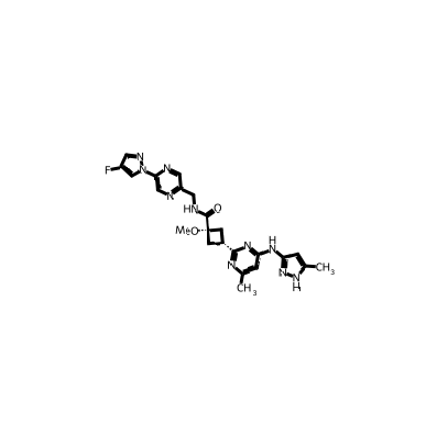 CO[C@]1(C(=O)NCc2cnc(-n3cc(F)cn3)cn2)C[C@H](c2nc(C)cc(Nc3cc(C)[nH]n3)n2)C1